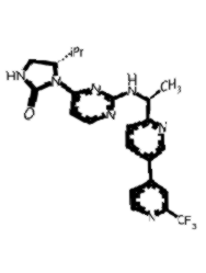 CC(C)[C@H]1CNC(=O)N1c1ccnc(N[C@@H](C)c2ccc(-c3ccnc(C(F)(F)F)c3)cn2)n1